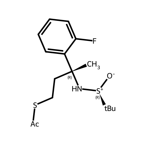 CC(=O)SCC[C@@](C)(N[S@@+]([O-])C(C)(C)C)c1ccccc1F